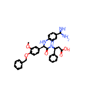 COc1cc(C(Nc2ccc(C(=N)N)cc2)C(=O)NC(CC(=O)O)c2ccccc2)ccc1OCc1ccccc1